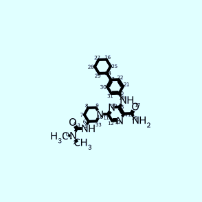 CN(C)C(=O)NC1CCCN(c2cnc(C(N)=O)c(Nc3ccc(C4CCCCC4)cc3)n2)C1